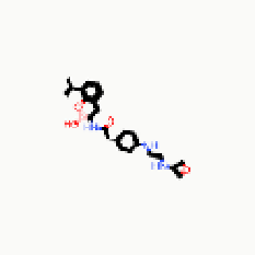 C=C(C)c1cccc2c1OB(O)[C@@H](NC(=O)C[C@H]1CC[C@H](NCCNC3COC3)CC1)C2